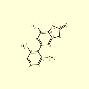 Cc1cc(-c2c(C)cncc2C)cc2c1NC(=O)C2